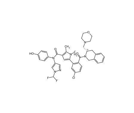 Cc1c(C(=O)N(c2ccc(O)cc2)c2cnn(C(F)F)c2)cc(-c2cc(Cl)ccc2C(=O)N2Cc3ccccc3C[C@H]2CN2CCOCC2)n1C